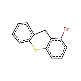 Brc1cccc2c1Cc1ccccc1S2